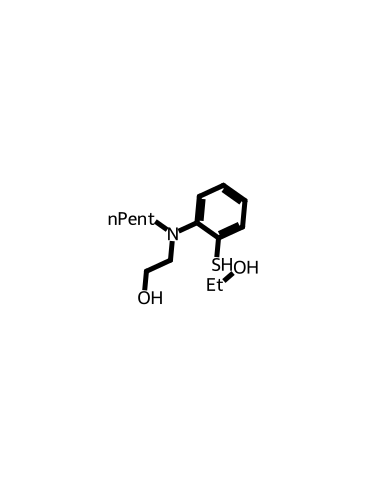 CCCCCN(CCO)c1ccccc1S.CCO